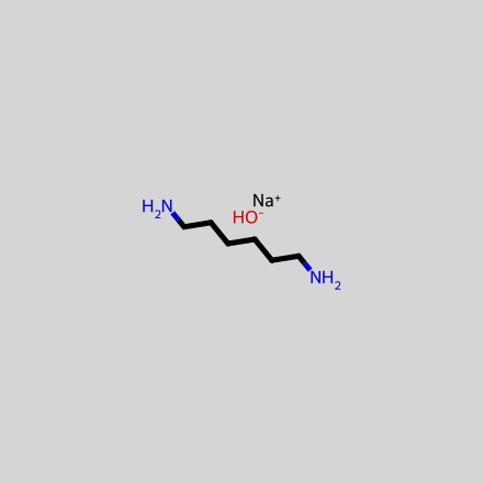 NCCCCCCN.[Na+].[OH-]